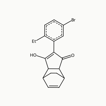 CCc1ccc(Br)cc1C1=C(O)C2C3C=CC(CC3)C2C1=O